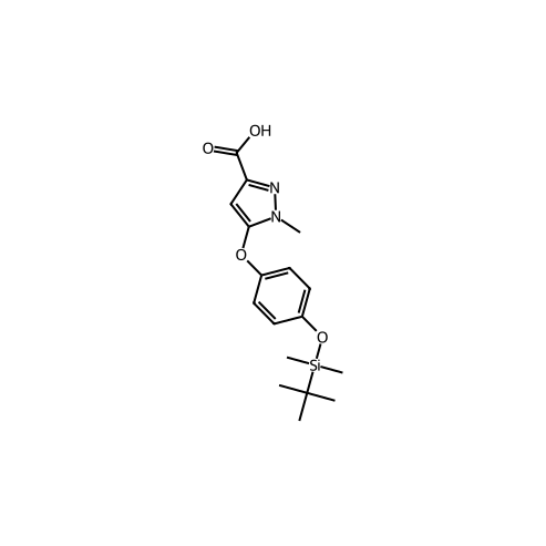 Cn1nc(C(=O)O)cc1Oc1ccc(O[Si](C)(C)C(C)(C)C)cc1